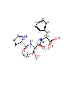 C[C@@H](O)[C@H](NC(=O)[C@@H]1CCCN1)C(=O)N[C@@H](Cc1ccccc1)C(=O)O